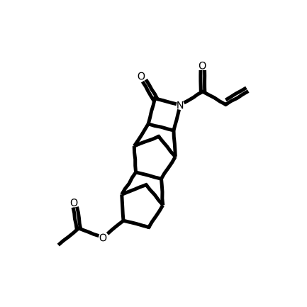 C=CC(=O)N1C(=O)C2C3CC(C4C5CC(OC(C)=O)C(C5)C34)C21